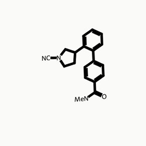 CNC(=O)c1ccc(-c2ccccc2C2CCN(C#N)C2)cc1